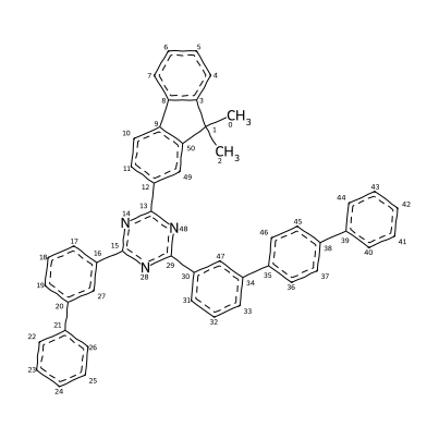 CC1(C)c2ccccc2-c2ccc(-c3nc(-c4cccc(-c5ccccc5)c4)nc(-c4cccc(-c5ccc(-c6ccccc6)cc5)c4)n3)cc21